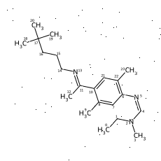 CCN(C)/C=N\c1cc(C)c(/C(C)=N/CCCC(C)(C)C)cc1C